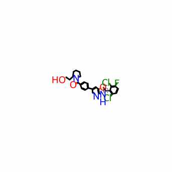 O=C(c1ccc(-c2cnc3c(c2)O[C@@H](c2c(Cl)ccc(F)c2Cl)N3)cc1)N1CCCCC1CCO